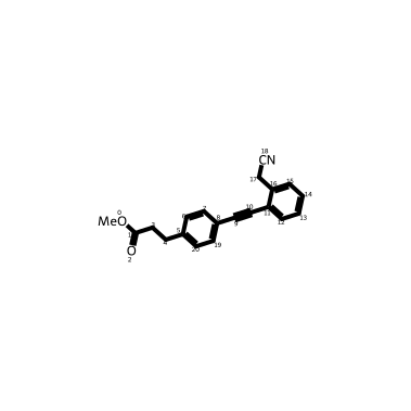 COC(=O)CCc1ccc(C#Cc2ccccc2CC#N)cc1